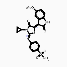 COc1ccc2c(c1)/C(=C1/S/C(=N\c3ccc(S(N)(=O)=O)cc3)N(C3CC3)C1=O)C(=O)N2